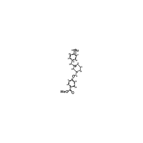 COC(=O)c1ccc(OCC2CCCN(Cc3ccc(C(C)(C)C)cc3)C2)cc1